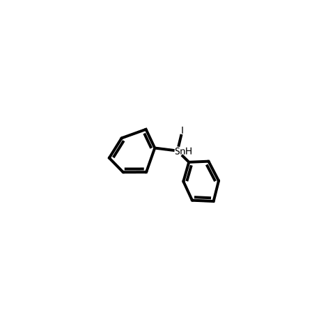 [I][SnH]([c]1ccccc1)[c]1ccccc1